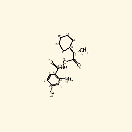 C[C@H](C(=O)ONC(=O)c1ccc(Br)cc1N)C1CCCCC1